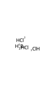 B.Cl.Cl.Cl